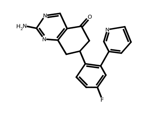 Nc1ncc2c(n1)CC(c1ccc(F)cc1-c1cccnc1)CC2=O